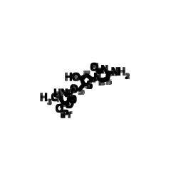 CC(C)OC(=O)[C@H](C)N[PH](=O)OCC1S[C@@H](n2ccc(N)nc2=O)CC1O